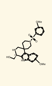 COc1cccc(S(=O)(=O)N2CCC3(CC2)CN[C@H](CO)c2[nH]c4cc(OC)ccc4c23)c1